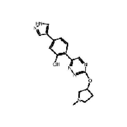 CN1CCC(Oc2ncc(-c3ccc(-c4cn[nH]c4)cc3O)nn2)C1